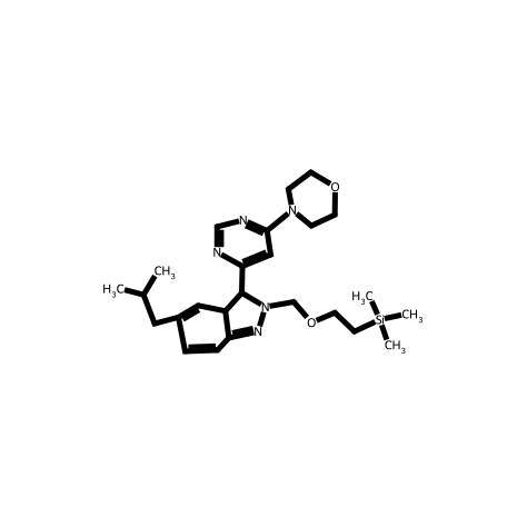 CC(C)CC1=CC2C(=NN(COCC[Si](C)(C)C)C2c2cc(N3CCOCC3)ncn2)C=C1